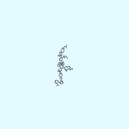 CC(C)CN1CCC(F)(CNc2ccc(S(=O)(=O)NC(=O)c3cnc(N4CCC5(CC4)CC(N4CCC[C@H]4c4ccccc4C(C)C)C5)cc3Oc3cnc4[nH]ccc4c3)cc2N)CC1